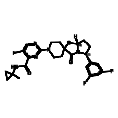 CC1(NC(=O)c2nc(N3CCC4(CC3)O[C@@H]3CC[C@@H](c5cc(F)cc(F)c5)N3C4=O)ncc2F)CC1